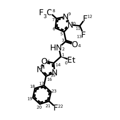 CC[C@H](NC(=O)c1cc(C(F)(F)F)nn1C(F)F)c1nc(-c2cccc(F)c2)no1